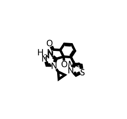 COC1(c2nncn2C2CC2)C(c2cscn2)=CC=CC1C(N)=O